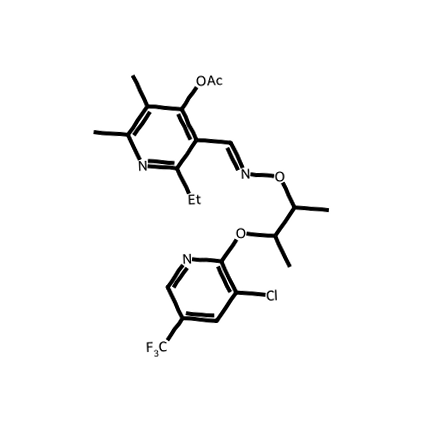 CCc1nc(C)c(C)c(OC(C)=O)c1/C=N/OC(C)C(C)Oc1ncc(C(F)(F)F)cc1Cl